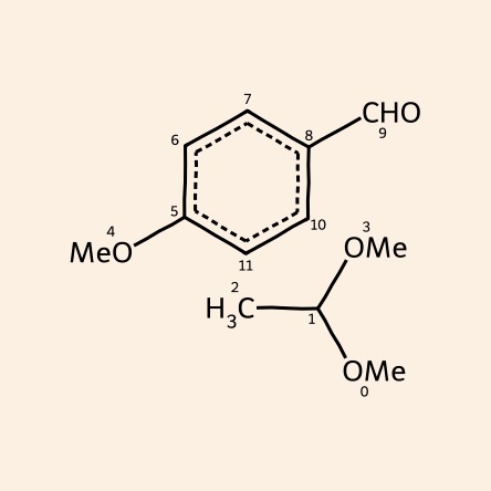 COC(C)OC.COc1ccc(C=O)cc1